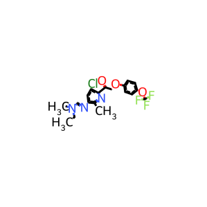 CCN(C)C=Nc1cc(Cl)c(C(=O)COc2ccc(OC(F)(F)F)cc2)nc1C